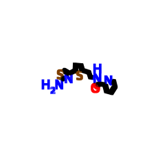 Nc1nc(-c2ccc(CCNC(=O)c3ccccn3)s2)cs1